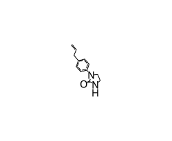 C=CCc1ccc(N2CCNC2=O)cc1